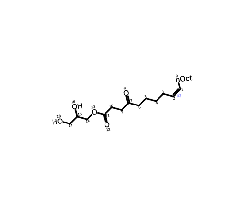 CCCCCCCC/C=C\CCCCC(=O)CCC(=O)OCC(O)CO